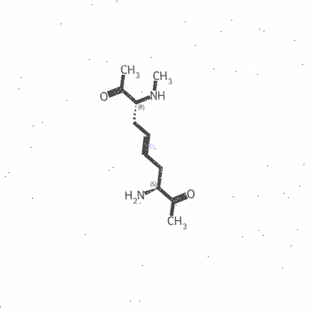 CN[C@H](C/C=C/C[C@H](N)C(C)=O)C(C)=O